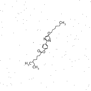 CCCCCCOc1cnc(-c2ccc(OC(=O)CCCCC(C)CC)cc2)nc1